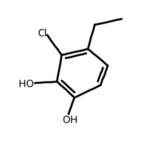 CCc1ccc(O)c(O)c1Cl